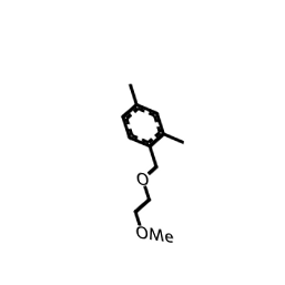 COCCOCc1ccc(C)cc1C